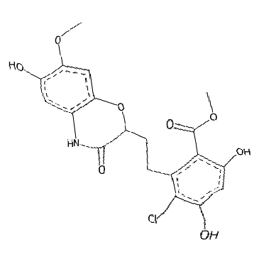 COC(=O)c1c(O)cc(O)c(Cl)c1CCC1Oc2cc(OC)c(O)cc2NC1=O